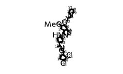 COc1cc2c(Nc3ccc(C(C)=NOCc4ccc(Cl)cc4Cl)cc3)ncnc2cc1OCCCN1CCCC1